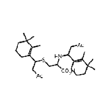 CC(=O)CC(NC(CSC(CC(C)=O)C1=C(C)C(C)(C)CCC1)C(=O)O)C1=C(C)C(C)(C)CCC1